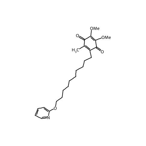 COC1=C(OC)C(=O)C(CCCCCCCCCCOc2ccccn2)=C(C)C1=O